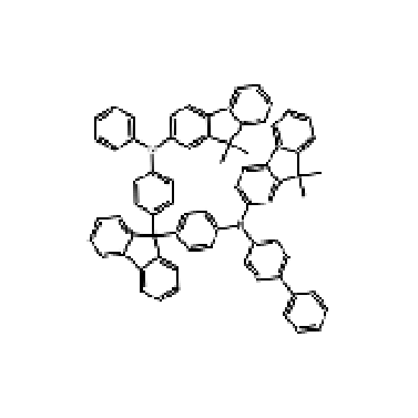 CC1(C)c2ccccc2-c2ccc(N(c3ccccc3)c3ccc(C4(c5ccc(N(c6ccc(-c7ccccc7)cc6)c6ccc7c(c6)C(C)(C)c6ccccc6-7)cc5)c5ccccc5-c5ccccc54)cc3)cc21